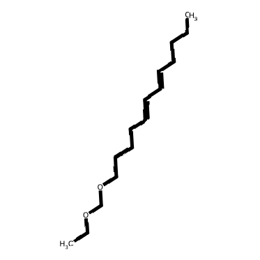 CCCCC=CC=CCCCCOCOCC